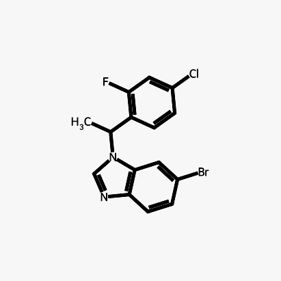 CC(c1ccc(Cl)cc1F)n1cnc2ccc(Br)cc21